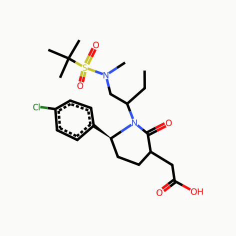 CCC(CN(C)S(=O)(=O)C(C)(C)C)N1C(=O)C(CC(=O)O)CC[C@H]1c1ccc(Cl)cc1